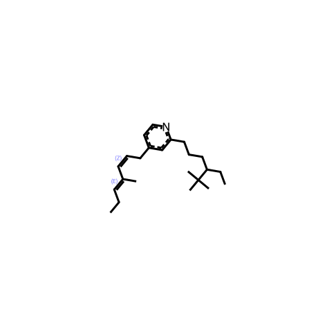 CC/C=C(C)/C=C\Cc1ccnc(CCCC(CC)C(C)(C)C)c1